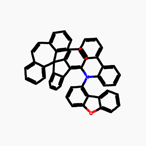 C1=Cc2ccccc2C2(c3ccccc31)c1ccccc1-c1c(N(c3ccccc3-c3ccccc3)c3cccc4oc5ccccc5c34)cccc12